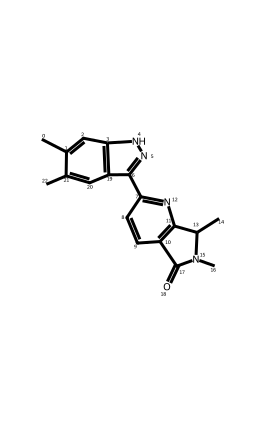 Cc1cc2[nH]nc(-c3ccc4c(n3)C(C)N(C)C4=O)c2cc1C